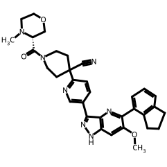 COc1cc2[nH]nc(-c3ccc(C4(C#N)CCN(C(=O)[C@H]5COCCN5C)CC4)nc3)c2nc1-c1cccc2c1CCC2